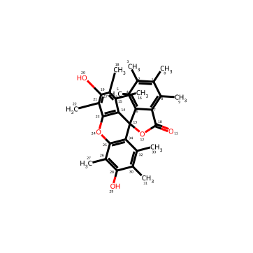 Cc1c(C)c(C)c2c(c1C)C(=O)OC21c2c(C)c(C)c(O)c(C)c2Oc2c(C)c(O)c(C)c(C)c21